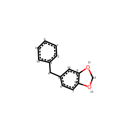 c1ccc(Cc2ccc3c(c2)OCO3)cc1